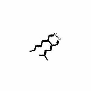 CC/C=C/C=c1/cnnc/c1=C/C=C(C)C